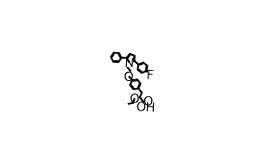 CCOC(Cc1ccc(OCCn2c(-c3ccccc3)ccc2-c2ccc(F)cc2)cc1)C(=O)O